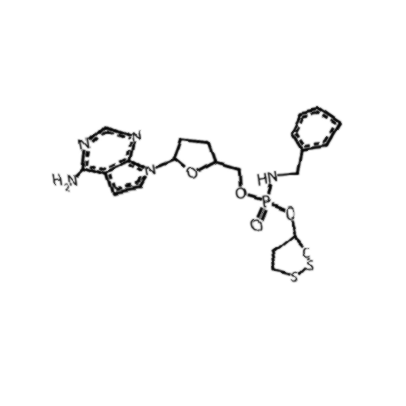 Nc1ncnc2c1ccn2C1CCC(COP(=O)(NCc2ccccc2)OC2CCSSC2)O1